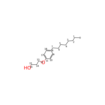 CCCCCCCCc1ccc(OCCCO)cc1